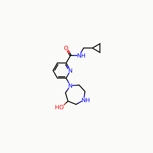 O=C(NCC1CC1)c1cccc(N2CCNCC(O)C2)n1